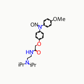 COc1ccc(N(N=O)c2ccc(OCC(=O)NCCN(C(C)C)C(C)C)cc2)cc1